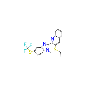 CCSc1cc2ccccc2nc1-c1nc2cc(SC(F)(F)F)ccc2n1C